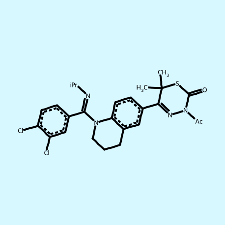 CC(=O)N1N=C(c2ccc3c(c2)CCCN3C(=NC(C)C)c2ccc(Cl)c(Cl)c2)C(C)(C)SC1=O